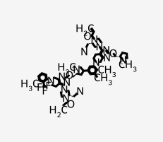 C=CC(=O)N1CCN(c2nc(OC[C@@H]3CCCN3C)nc3c2CCN(c2cc(C4C[C@@H](COc5nc6c(c(N7CCN(C(=O)C=C)[C@@H](CC#N)C7)n5)CCN(c5cccc(C)c5C(F)(F)F)C6)N(C)C4)cc(C)c2C)C3)C[C@@H]1CC#N